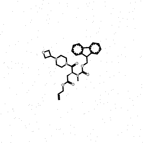 C=CCOC(=O)C[C@@H](C(=O)N1CCN(C2COC2)CC1)N(C)C(=O)OCC1c2ccccc2-c2ccccc21